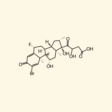 C[C@H]1C[C@H]2[C@@H]3C[C@@H](F)C4=CC(=O)C(Br)=C[C@]4(C)[C@@]3(F)[C@@H](O)C[C@]2(C)[C@@]1(O)C(=O)C(O)CC(=O)O